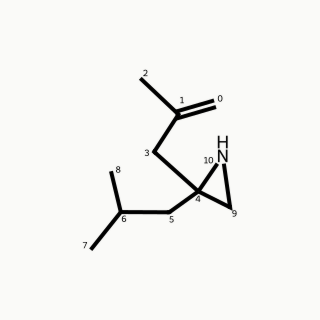 C=C(C)CC1(CC(C)C)CN1